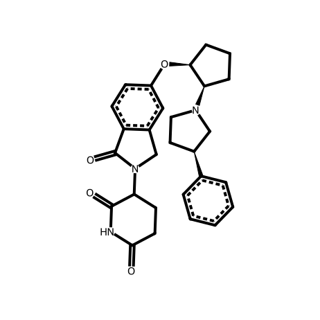 O=C1CCC(N2Cc3cc(O[C@H]4CCC[C@H]4N4CC[C@H](c5ccccc5)C4)ccc3C2=O)C(=O)N1